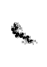 CCC(=O)N[C@H](C(=O)N1CCC[C@H]1c1ncc(-c2ccc(-c3ccc(-c4cnc([C@@H]5CCCN5C(=O)[C@@H](NC(=O)OC)C(C)C)[nH]4)c4ccoc34)c3occc23)[nH]1)C(C)C